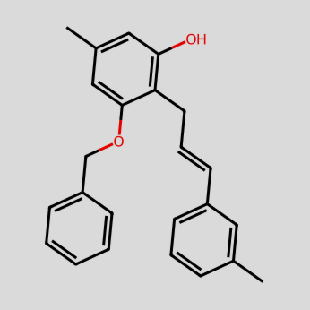 Cc1cccc(/C=C/Cc2c(O)cc(C)cc2OCc2ccccc2)c1